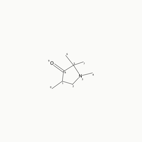 CC1CN(C)C(C)(C)C1=O